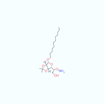 CCCCCCCCCCCCO[C@@H]1O[C@H]([C@H](CO)ON)[C@@H]2OC(C)(C)O[C@H]12